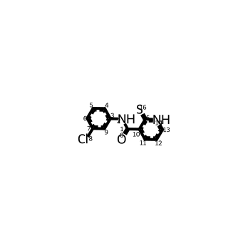 O=C(Nc1cccc(Cl)c1)c1ccc[nH]c1=S